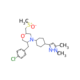 Cc1cc(C2CCC(N3CC(C[S+](C)[O-])OCC3Cc3ccc(Cl)cc3)CC2)nn1C